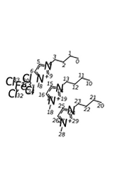 CCCCn1cc[n+](C)c1.CCCCn1cc[n+](C)c1.CCCCn1cc[n+](C)c1.[Cl][Fe-3]([Cl])([Cl])[Cl]